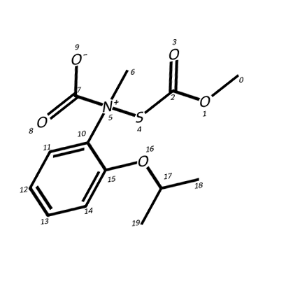 COC(=O)S[N+](C)(C(=O)[O-])c1ccccc1OC(C)C